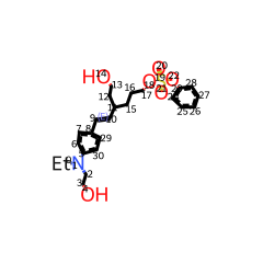 CCN(CCO)c1ccc(/C=C/C(CCO)CCCOS(=O)(=O)Oc2ccccc2)cc1